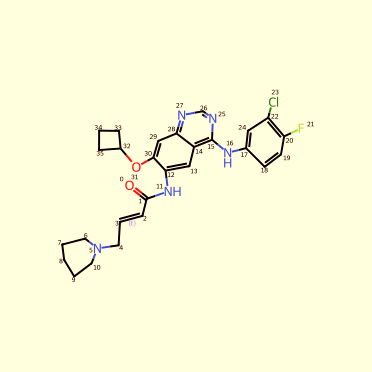 O=C(/C=C/CN1CCCCC1)Nc1cc2c(Nc3ccc(F)c(Cl)c3)ncnc2cc1OC1CCC1